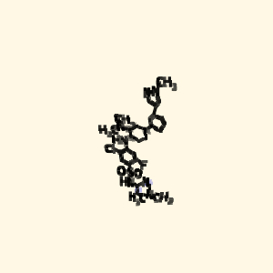 C=N/C=N\C(=C/C)NS(=O)(=O)c1cc(Cl)c(N[C@H]2CC[C@H](c3cccc(-c4cnn(C)c4)c3)C[C@@H]2N(C)C)cc1F